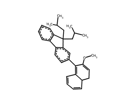 COC1=CCC2C=CC=CC2=C1c1ccc2c(c1)C(CC(C)C)(CC(C)C)c1ccccc1-2